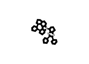 c1ccc(-c2nc3cccc(-n4c5cccc6c5c5c7c(cccc7ccc54)-c4ccccc4-6)c3nc2-c2ccccc2)cc1